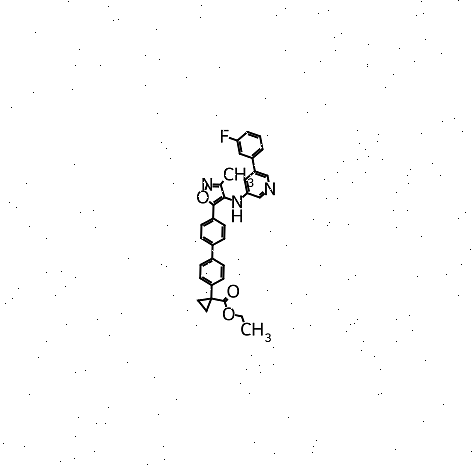 CCOC(=O)C1(c2ccc(-c3ccc(-c4onc(C)c4Nc4cncc(-c5cccc(F)c5)c4)cc3)cc2)CC1